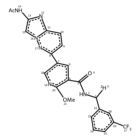 [2H]C(NC(=O)c1cc(-c2ccc3nc(NC(C)=O)cn3n2)cnc1OC)c1cccc(C(F)(F)F)c1